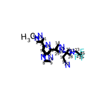 Cn1cc(-c2cc3nccnc3c(-c3cnn(C4(CC#N)CN(CC(F)(F)F)C4)c3)n2)cn1